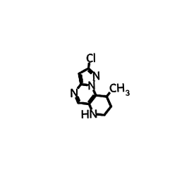 CC1CCNc2cnc3cc(Cl)nn3c21